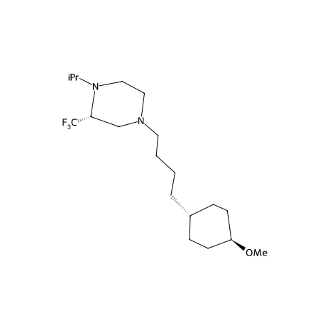 CO[C@H]1CC[C@H](CCCCN2CCN(C(C)C)[C@@H](C(F)(F)F)C2)CC1